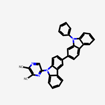 N#Cc1ncc(-n2c3ccccc3c3cc(-c4ccc5c6ccccc6n(-c6ccccc6)c5c4)ccc32)nc1C#N